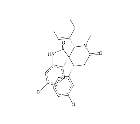 CC=C(CC)[C@@H]1N(C)C(=O)C[C@H](c2cccc(Cl)c2)[C@@]12C(=O)Nc1cc(Cl)ccc12